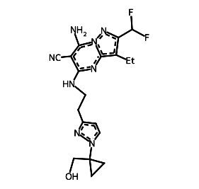 CCc1c(C(F)F)nn2c(N)c(C#N)c(NCCc3ccn(C4(CO)CC4)n3)nc12